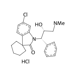 CNC[C@@H](O)[C@H](c1ccccc1)N1C(=O)C2(CCCCC2)c2ccc(Cl)cc21.Cl